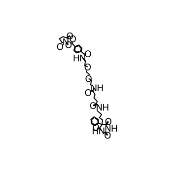 O=C(CCCC(=O)NCCOCCOCCNC(=O)c1ccc(C(=O)ON2C(=O)CCC2=O)cc1)NCCCCC1(c2ccccc2)C(=O)NC(=O)NC1=O